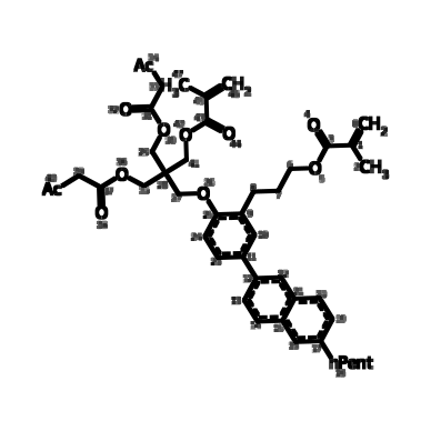 C=C(C)C(=O)OCCCc1cc(-c2ccc3cc(CCCCC)ccc3c2)ccc1OCC(COC(=O)CC(C)=O)(COC(=O)CC(C)=O)COC(=O)C(=C)C